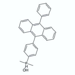 C[PH](C)(O)c1ccc(-c2c3ccccc3c(-c3ccccc3)c3ccccc23)cc1